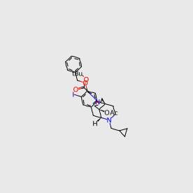 CC(=O)O[C@@]12CCN(C(=O)OC(C)(C)C)CC[C@@]13CCN(CC1CC1)[C@@H]2Cc1cc(I)c(OCc2ccccc2)cc13